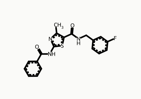 Cc1nc(NC(=O)c2ccccc2)sc1C(=O)NCc1cccc(F)c1